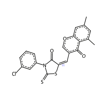 Cc1cc(C)c2c(=O)c(/C=C3/SC(=S)N(c4cccc(Cl)c4)C3=O)coc2c1